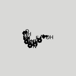 COc1nc(-c2cccc(-c3nccc(Nc4cccc(CN5CC(CO)C5)c4F)c3Cl)c2Cl)ccc1CNC[C@@H]1CCC(=O)N1